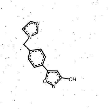 Oc1cc(-c2ccc(Cn3ccnc3)cc2)on1